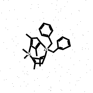 CC1=C2C(C)=[C](C1)[Zr]([CH2]c1ccccc1)([CH2]c1ccccc1)[C]1=C(C)C(=C(C)C1)[Si]2(C)C